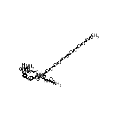 CCCCOc1nc(N)c2[nH]c(=O)n(Cc3ccc(CN4CCC(CCNC(=O)[C@H](CCCCNC(=O)CON)NC(=O)CCOCCOCCOCCOCCOCCOCCOCCOCCOCCOCCOCCOC)CC4)cc3)c2n1